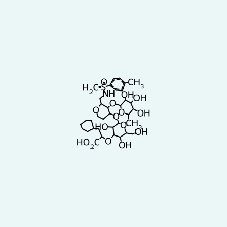 C=S(=O)(NCC1OCCC(OC2OC(CO)C(O)C(OC(CC3CCCCC3)C(=O)O)C2O)C1OC1OC(C)C(O)C(O)C1O)c1ccc(C)cc1